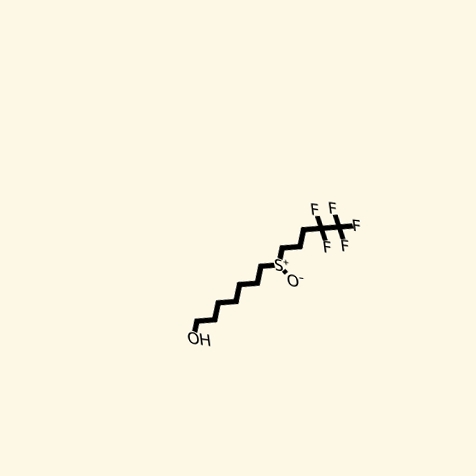 [O-][S+](CCCCCCCO)CCCC(F)(F)C(F)(F)F